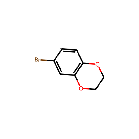 Brc1[c]cc2c(c1)OCCO2